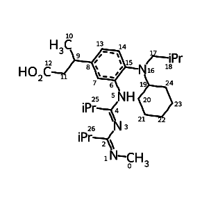 C/N=C(\N=C(\Nc1cc(C(C)CC(=O)O)ccc1N(CC(C)C)C1CCCCC1)C(C)C)C(C)C